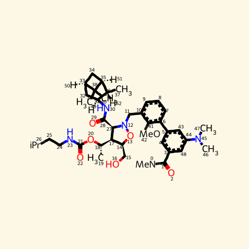 CNC(=O)c1cc(-c2cccc(CN3O[C@@H](CO)[C@@H]([C@H](C)OC(=O)NCCC(C)C)[C@H]3C(=O)N[C@H]3C[C@H]4C[C@@H]([C@@H]3C)C4(C)C)c2OC)cc(N(C)C)c1